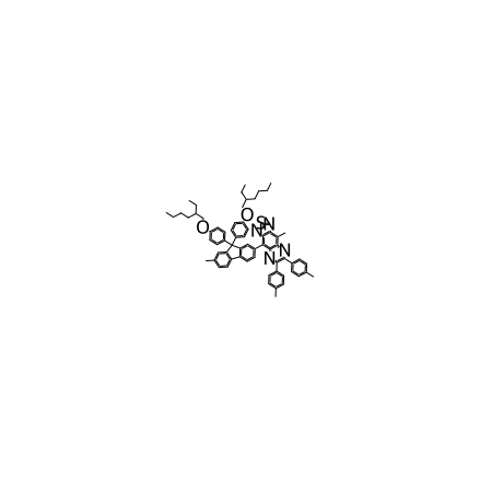 CCCCC(CC)COc1ccc(C2(c3ccc(OCC(CC)CCCC)cc3)c3cc(C)ccc3-c3ccc(-c4c5nsnc5c(C)c5nc(-c6ccc(C)cc6)c(-c6ccc(C)cc6)nc45)cc32)cc1